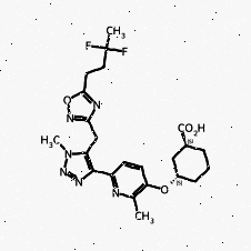 Cc1nc(-c2nnn(C)c2Cc2noc(CCC(C)(F)F)n2)ccc1O[C@H]1CCC[C@H](C(=O)O)C1